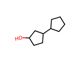 OC1CC[C](C2CCCC2)C1